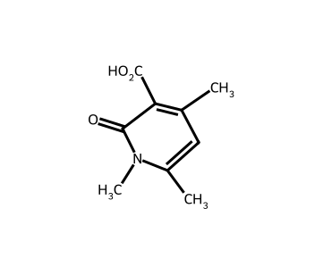 Cc1cc(C)n(C)c(=O)c1C(=O)O